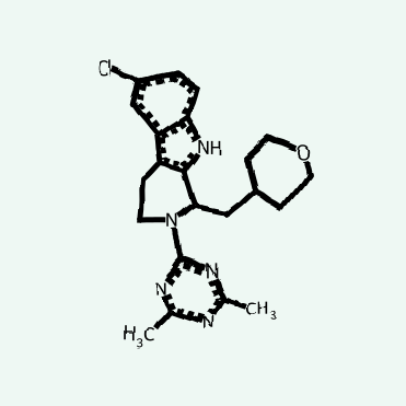 Cc1nc(C)nc(N2CCc3c([nH]c4ccc(Cl)cc34)C2CC2CCOCC2)n1